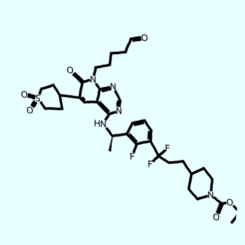 C[C@@H](Nc1ncnc2c1cc(C1CCS(=O)(=O)CC1)c(=O)n2CCCCC=O)c1cccc(C(F)(F)CCC2CCN(C(=O)OC(C)(C)C)CC2)c1F